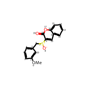 COc1cccc(C[S+]([O-])c2cc3ccccc3oc2=O)c1